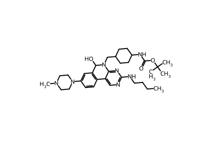 CCCCNc1ncc2c(n1)N(CC1CCC(NC(=O)OC(C)(C)C)CC1)C(O)c1cc(N3CCN(C)CC3)ccc1-2